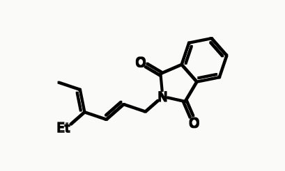 CC=C(C=CCN1C(=O)c2ccccc2C1=O)CC